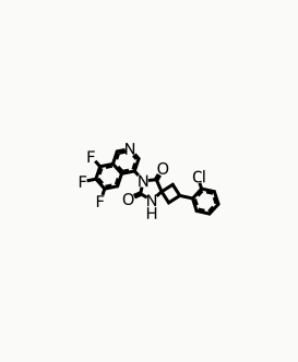 O=C1NC2(CC(c3ccccc3Cl)C2)C(=O)N1c1cncc2c(F)c(F)c(F)cc12